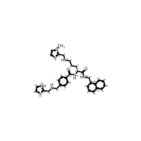 Cn1ccnc1CNCCC[C@H](NC(=O)c1ccc(CNCc2ncc[nH]2)cc1)C(=O)NCc1cccc2ccccc12